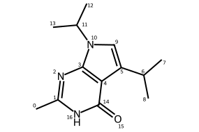 Cc1nc2c(c(C(C)C)cn2C(C)C)c(=O)[nH]1